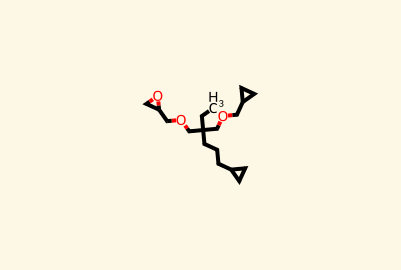 CCC(CCCC1CC1)(COCC1CC1)COCC1CO1